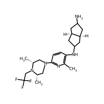 Cc1nc(N2C[C@@H](C)N(CC(F)(F)F)[C@@H](C)C2)ccc1NC1C[C@H]2CC(N)C[C@H]2C1